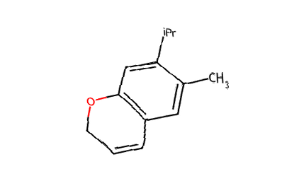 Cc1cc2c(cc1C(C)C)OCC=C2